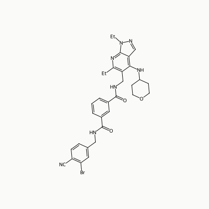 CCc1nc2c(cnn2CC)c(NC2CCOCC2)c1CNC(=O)c1cccc(C(=O)NCc2ccc(C#N)c(Br)c2)c1